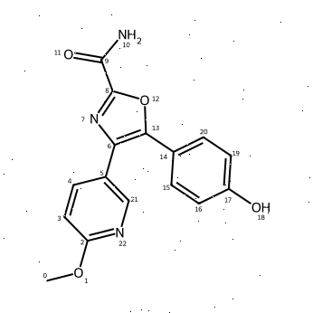 COc1ccc(-c2nc(C(N)=O)oc2-c2ccc(O)cc2)cn1